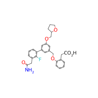 NC(=O)Cc1cccc(-c2cc(COc3ccccc3CC(=O)O)cc(OCC3CCCO3)c2)c1F